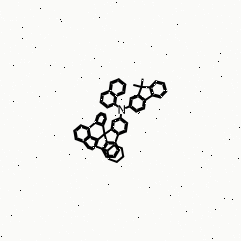 CC1(C)c2ccccc2-c2ccc(N(c3ccc4c(c3)C3(c5ccccc5-4)c4ccccc4-c4cccc5ccc(C6CCCCC6)c3c45)c3cccc4ccccc34)cc21